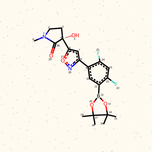 CN1CC[C@@](O)(c2cc(-c3cc(B4OC(C)(C)C(C)(C)O4)c(F)cc3F)no2)C1=O